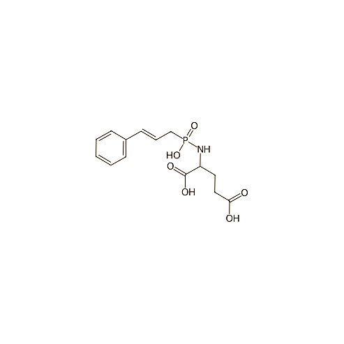 O=C(O)CCC(NP(=O)(O)CC=Cc1ccccc1)C(=O)O